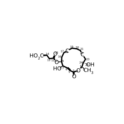 C[C@H]1OC(=O)/C=C/[C@@H](O)[C@@H](OC(=O)CCC(=O)O)CCCCCCCC[C@@H]1O